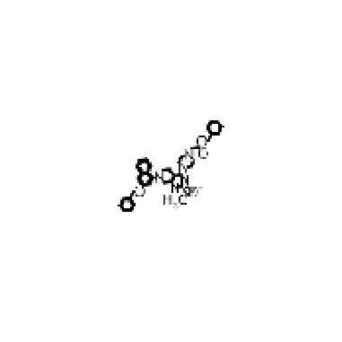 C[S+]([O-])c1nc2c(c(N3CCN(CC(=O)OCc4ccccc4)CC3)n1)CCN(c1cc(OCc3ccccc3)cc3ccccc13)C2